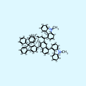 C=C/C=C(\c1cc2c(-c3cccc4c3c3ccccc3n4C)cccc2c(-c2ccc3c(c2)C(c2ccccc2)(c2ccccc2)c2ccccc2-3)c1C)c1cccc2c1c1ccccc1n2C